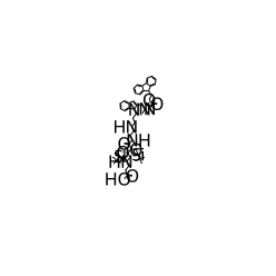 CN(Cc1cc2ccccc2n1CCCNCCNC(=O)C(O[Si](C)(C)C(C)(C)C)C(CNCCC(=O)O)O[Si](C)(C)C(C)(C)C)N(C)C(=O)OCC1c2ccccc2-c2ccccc21